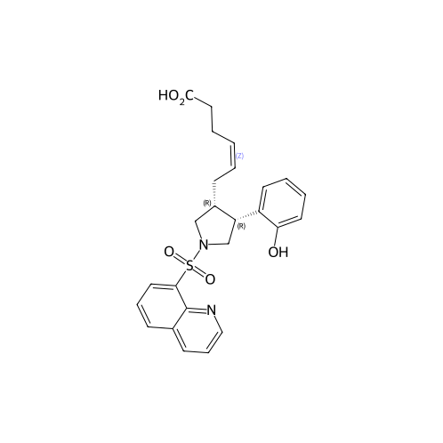 O=C(O)CC/C=C\C[C@H]1CN(S(=O)(=O)c2cccc3cccnc23)C[C@H]1c1ccccc1O